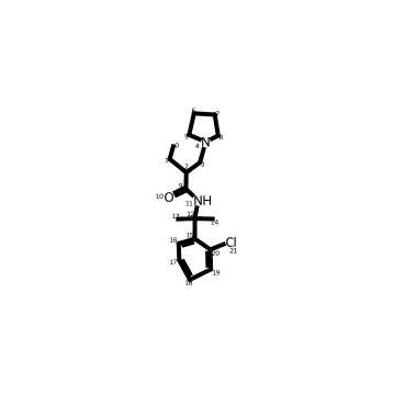 CCC(CN1CCCC1)C(=O)NC(C)(C)c1ccccc1Cl